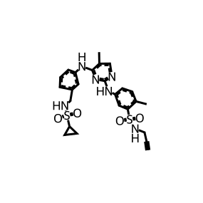 C#CCNS(=O)(=O)c1cc(Nc2ncc(C)c(Nc3cccc(CNS(=O)(=O)C4CC4)c3)n2)ccc1C